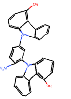 Nc1ccc(-n2c3ccccc3c3c(O)cccc32)cc1-n1c2ccccc2c2c(O)cccc21